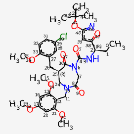 CC[C@@H](NC(=O)N1CC(=O)N(Cc2c(OC)cc(OC)cc2OC)C[C@@H](Cc2cc(Cl)ccc2OC)C1=O)c1cc(OC(C)(C)C)no1